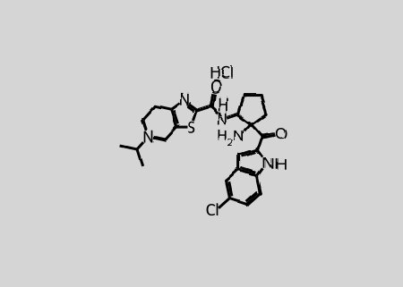 CC(C)N1CCc2nc(C(=O)NC3CCCC3(N)C(=O)c3cc4cc(Cl)ccc4[nH]3)sc2C1.Cl